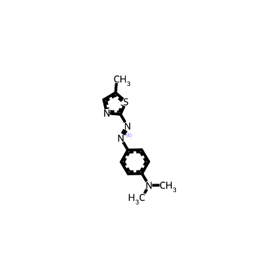 Cc1cnc(/N=N/c2ccc(N(C)C)cc2)s1